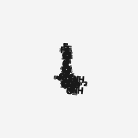 CCON=C(C(C)=C(ON)c1ccccc1C(=NOC)C(=O)NC)c1ccc(OCc2ccc(C(F)(F)F)cc2)cc1